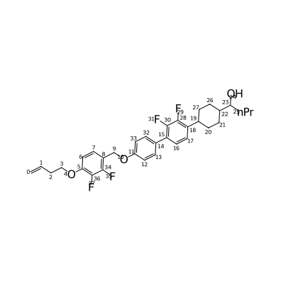 C=CCCOc1ccc(COc2ccc(-c3ccc(C4CCC(C(O)CCC)CC4)c(F)c3F)cc2)c(F)c1F